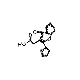 O=C(O)Cc1c(-c2cccs2)oc2ccccc2c1=O